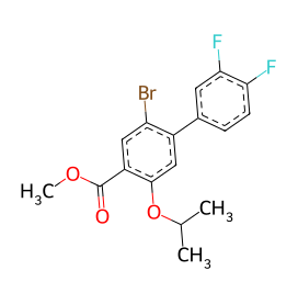 COC(=O)c1cc(Br)c(-c2ccc(F)c(F)c2)cc1OC(C)C